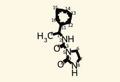 CC(NC(=O)N1CCNC1=O)c1ccccc1